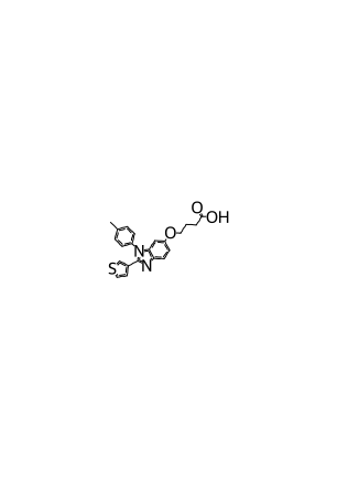 Cc1ccc(-n2c(-c3ccsc3)nc3ccc(OCCCC(=O)O)cc32)cc1